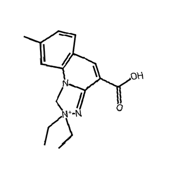 CC[N+]1(CC)CN2C(=N1)C(C(=O)O)=Cc1ccc(C)cc12